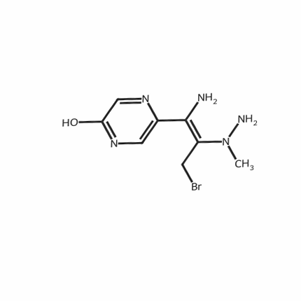 CN(N)/C(CBr)=C(\N)c1cnc(O)cn1